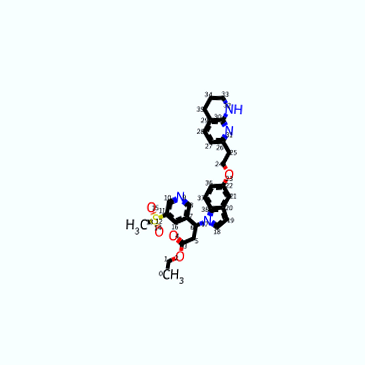 CCOC(=O)CC(c1cncc(S(C)(=O)=O)c1)n1ccc2cc(OCCc3ccc4c(n3)NCCC4)ccc21